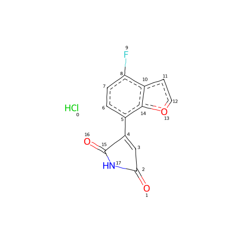 Cl.O=C1C=C(c2ccc(F)c3ccoc23)C(=O)N1